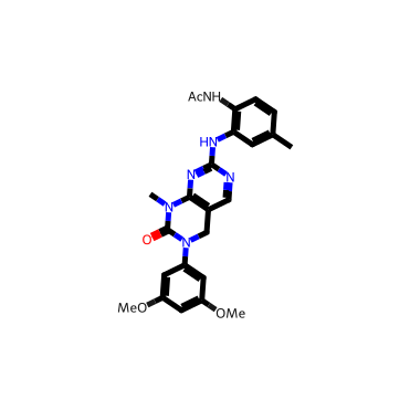 COc1cc(OC)cc(N2Cc3cnc(Nc4cc(C)ccc4NC(C)=O)nc3N(C)C2=O)c1